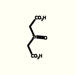 O=C(O)[CH2][Zr](=[O])[CH2]C(=O)O